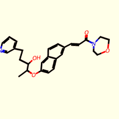 CC(Oc1ccc2cc(C=CC(=O)N3CCOCC3)ccc2c1)C(O)CCc1cccnc1